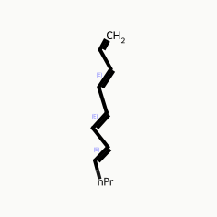 [CH2]CC/C=C/C=C/C=C/C=C